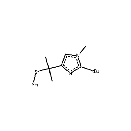 Cn1cc(C(C)(C)SS)nc1C(C)(C)C